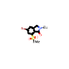 CC[C@H](C)N1Cc2cc(Br)cc(S(=O)(=O)NC)c2C1=O